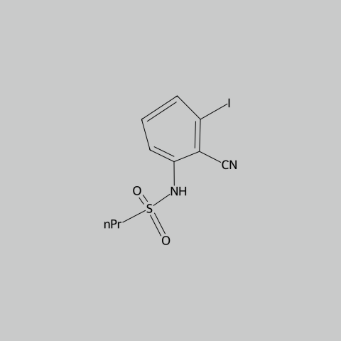 CCCS(=O)(=O)Nc1cccc(I)c1C#N